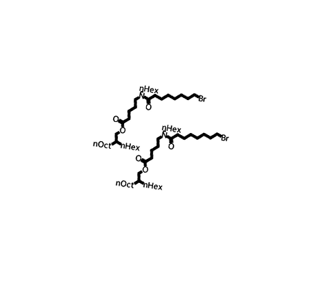 CCCCCCCCC(CCCCCC)COC(=O)CCCCN(CCCCCC)C(=O)CCCCCCCBr.CCCCCCCCC(CCCCCC)COC(=O)CCCCN(CCCCCC)C(=O)CCCCCCCBr